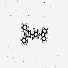 Fc1c(F)c(-n2c3ccccc3c3ccccc32)c(F)c(F)c1-c1nc(-c2ccccc2)nc(-c2ccccn2)n1